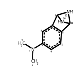 CN(C)c1ccc2c(c1)C1NC2N1